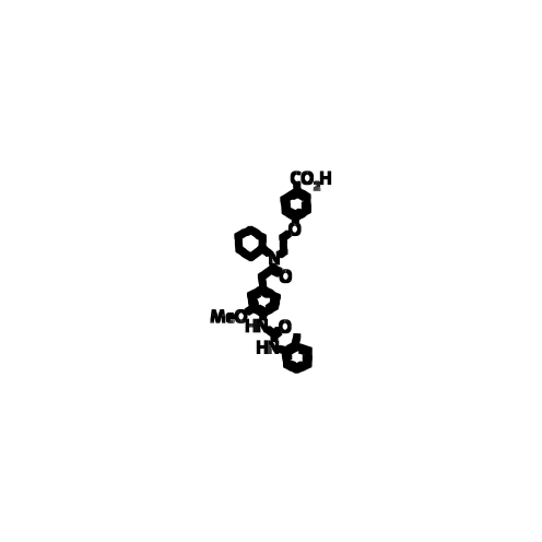 COc1cc(CC(=O)N(CCOc2ccc(C(=O)O)cc2)C2CCCCC2)ccc1NC(=O)Nc1ccccc1C